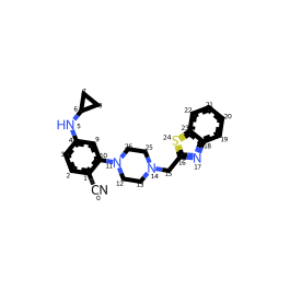 N#Cc1ccc(NC2CC2)cc1N1CCN(Cc2nc3ccccc3s2)CC1